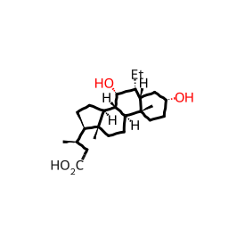 CC[C@H]1[C@@H](O)[C@@H]2[C@H](CC[C@]3(C)[C@@H]([C@H](C)CC(=O)O)CC[C@@H]23)[C@@]2(C)CC[C@@H](O)C[C@@H]12